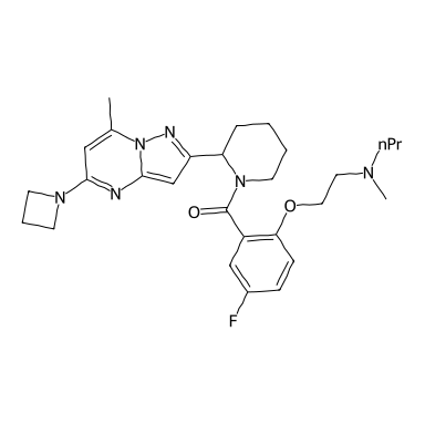 CCCN(C)CCOc1ccc(F)cc1C(=O)N1CCCCC1c1cc2nc(N3CCC3)cc(C)n2n1